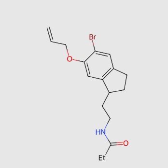 C=CCOc1cc2c(cc1Br)CCC2CCNC(=O)CC